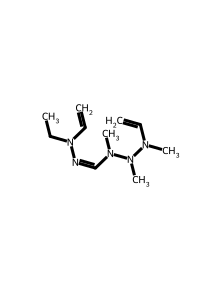 C=CN(CC)/N=C\N(C)N(C)N(C)C=C